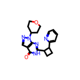 O=c1[nH]c(C2CCC2c2ccccn2)nc2c1cnn2C1CCOCC1